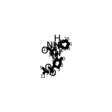 C=C1CCC(C(=O)OC(C)(C)C)C[C@@H]1n1cc(C(N)=O)c(Nc2ccccc2)n1